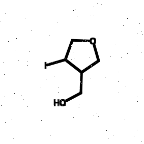 OCC1COCC1I